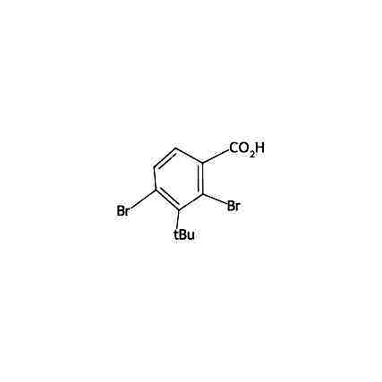 CC(C)(C)c1c(Br)ccc(C(=O)O)c1Br